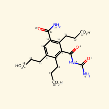 NC(=O)NC(=O)c1c(CCC(=O)O)c(CCC(=O)O)cc(C(N)=O)c1CCC(=O)O